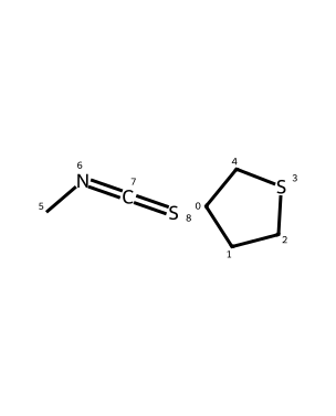 C1CCSC1.CN=C=S